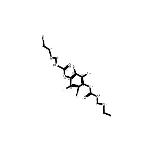 CCOCOC(=O)Oc1c(F)c(F)c(OC(=O)OCOCCF)c(F)c1F